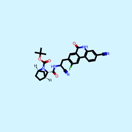 CC(C)(C)OC(=O)N1[C@@H]2CC[C@@H](C2)[C@H]1C(=O)NC(C#N)Cc1cc2c(=O)[nH]c3cc(C#N)ccc3c2cc1F